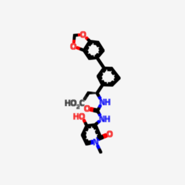 Cn1ccc(O)c(NC(=O)N[C@@H](CC(=O)O)c2cccc(-c3ccc4c(c3)OCO4)c2)c1=O